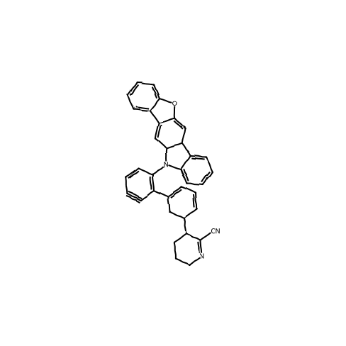 N#CC1=NCCCC1C1C=CC=C(c2c#cccc2N2c3ccccc3C3C=c4oc5ccccc5c4=CC32)C1